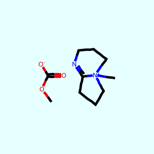 COC(=O)[O-].C[N+]12CCCN=C1CCC2